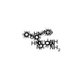 Nc1n[nH]c2ccc(-c3ccnc4[nH]c(-c5cc(NCCN6CCOCC6)cc(OCc6ccccc6)c5)cc34)cc12